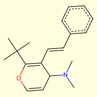 CN(C)C1C=COC(C(C)(C)C)=C1C=Cc1ccccc1